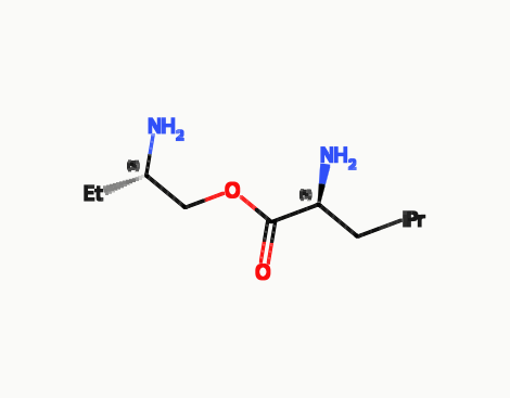 CC[C@H](N)COC(=O)[C@@H](N)CC(C)C